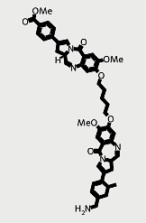 COC(=O)c1ccc(C2=CN3C(=O)c4cc(OC)c(OCCCCCOc5cc6c(cc5OC)C(=O)N5C=C(C7=CC=C(CN)CC7C)CC5C=N6)cc4N=C[C@@H]3C2)cc1